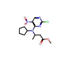 COC(=O)CC(C)N(c1nc(Cl)ncc1[N+](=O)[O-])C1CCCC1